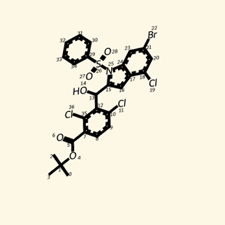 CC(C)(C)OC(=O)c1ccc(Cl)c(C(O)c2cc3c(Cl)cc(Br)cc3n2S(=O)(=O)c2ccccc2)c1Cl